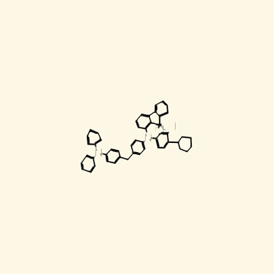 CC1(C)c2ccccc2-c2cccc(N(c3ccc(Cc4ccc(N(c5ccccc5)c5ccccc5)cc4)cc3)c3ccc(C4CCCCC4)cc3)c21